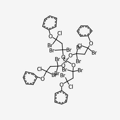 ClC(Br)(CC(Br)(Br)O[Si](OC(Br)(Br)CC(Cl)(Br)Oc1ccccc1)(OC(Br)(Br)CC(Cl)(Br)Oc1ccccc1)OC(Br)(Br)CC(Cl)(Br)Oc1ccccc1)Oc1ccccc1